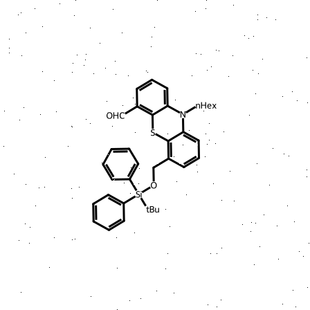 CCCCCCN1c2cccc(C=O)c2Sc2c(CO[Si](c3ccccc3)(c3ccccc3)C(C)(C)C)cccc21